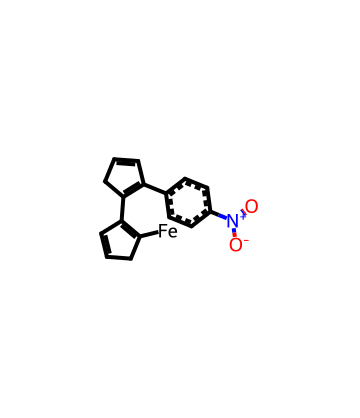 O=[N+]([O-])c1ccc(C2=C(C3=[C]([Fe])CC=C3)CC=C2)cc1